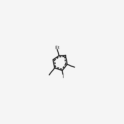 CCc1cc(C)c(I)c(C)c1